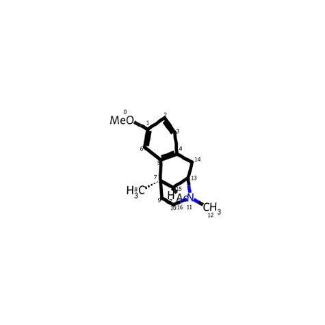 COc1ccc2c(c1)[C@]1(C)CCN(C)C(C2)[C@H]1C(C)=O